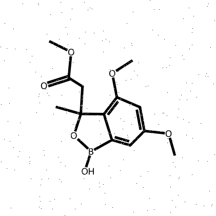 COC(=O)CC1(C)OB(O)c2cc(OC)cc(OC)c21